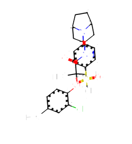 Cc1ccc(OC(C)(C)C(=O)NC2CC3CCC(C2)N3c2ccc(S(C)(=O)=O)cc2)c(Cl)c1